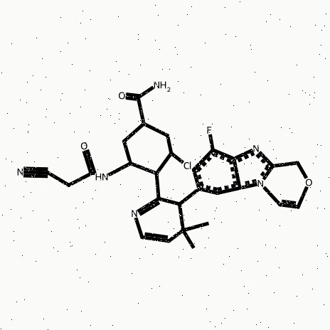 CC1(C)C=CN=C(C2C(Cl)CC(C(N)=O)CC2NC(=O)CC#N)C1c1cc(F)c2nc3n(c2c1)C=COC3